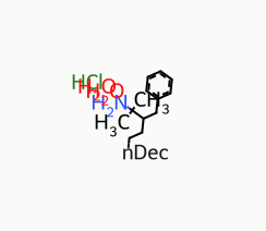 CCCCCCCCCCCCC(Cc1ccccc1)C(C)(C)N.Cl.O.O